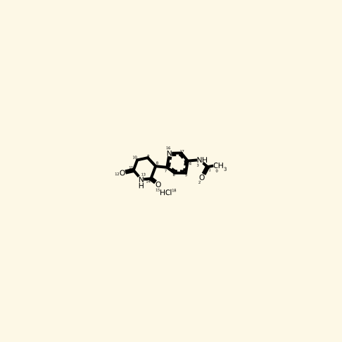 CC(=O)Nc1ccc(C2CCC(=O)NC2=O)nc1.Cl